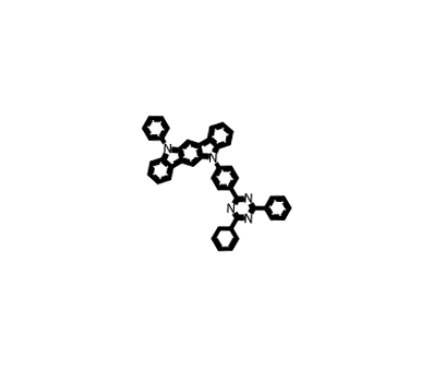 C1=CCC(c2nc(-c3ccccc3)nc(-c3ccc(-n4c5ccccc5c5cc6c(cc54)c4ccccc4n6-c4ccccc4)cc3)n2)C=C1